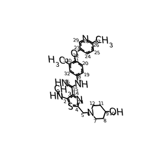 CNc1sc(CN2CCC(O)CC2)nc1C(=N)Nc1ccc(Oc2ccc(C)nc2)c(C)c1